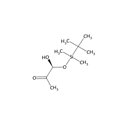 CC(=O)[C@@H](O)O[Si](C)(C)C(C)(C)C